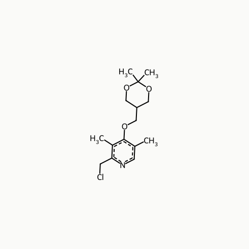 Cc1cnc(CCl)c(C)c1OCC1COC(C)(C)OC1